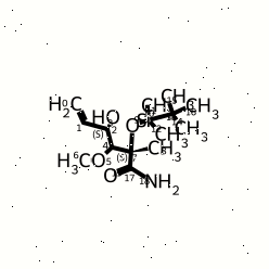 C=C[C@H](O)C(OC)[C@](C)(O[Si](C)(C)C(C)(C)C)C(N)=O